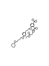 CCOC(=O)CC1CN(C(=O)c2cc(C(=O)OC)ccc2OCCCc2ccc(OCCCCOC3CCCCC3)cc2)C1